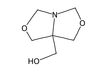 OCC12COCN1COC2